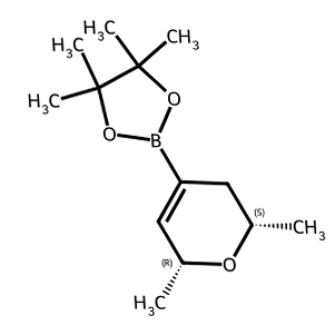 C[C@@H]1C=C(B2OC(C)(C)C(C)(C)O2)C[C@H](C)O1